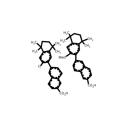 CC1(C)CCC(C)(C)c2cc(-c3ccc4cc(C(=O)O)ccc4c3)c(Cl)cc21.COc1cc2c(cc1-c1ccc3cc(C(=O)O)ccc3c1)C(C)(C)CCC2(C)C